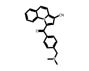 CN(C)Cc1ccc(C(=O)c2cc(C#N)c3ccc4ccccc4n23)cc1